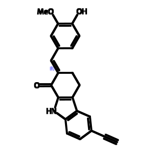 C#Cc1ccc2[nH]c3c(c2c1)CC/C(=C\c1ccc(O)c(OC)c1)C3=O